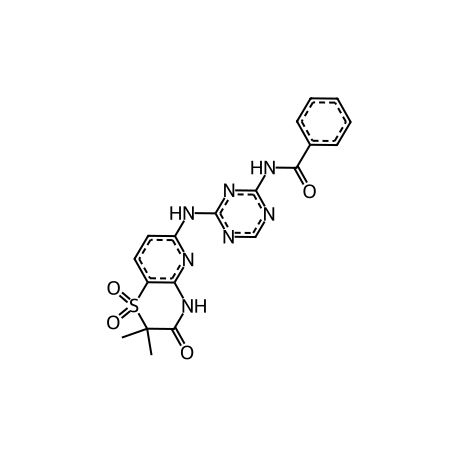 CC1(C)C(=O)Nc2nc(Nc3ncnc(NC(=O)c4ccccc4)n3)ccc2S1(=O)=O